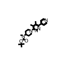 Cc1c(-c2ccncc2)nnc(N2CCC(N(C)C(=O)OC(C)(C)C)CC2)c1C